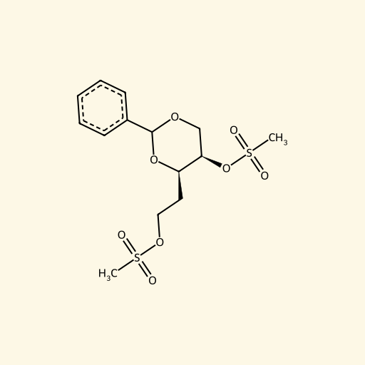 CS(=O)(=O)OCC[C@H]1OC(c2ccccc2)OC[C@H]1OS(C)(=O)=O